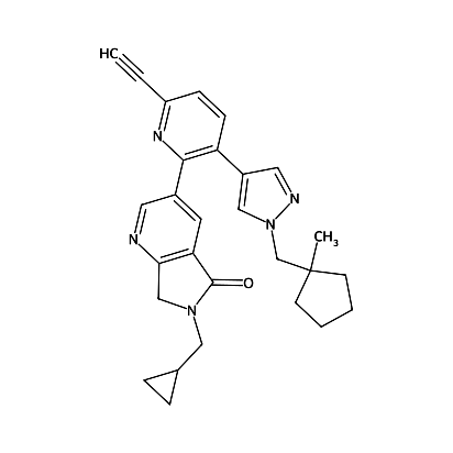 C#Cc1ccc(-c2cnn(CC3(C)CCCC3)c2)c(-c2cnc3c(c2)C(=O)N(CC2CC2)C3)n1